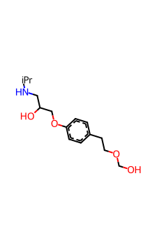 CC(C)NCC(O)COc1ccc(CCOCO)cc1